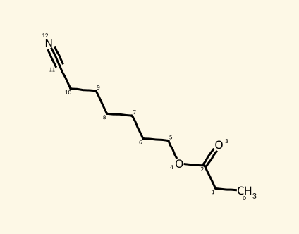 CCC(=O)OCCCCCCC#N